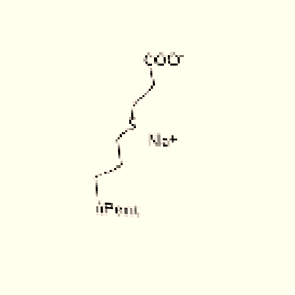 CCCCCCCCSCCC(=O)[O-].[Na+]